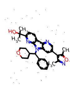 Cc1noc(C)c1-c1cnc2c3ccc(C(C)(C)O)nc3n(C(c3ccccc3)C3CCOCC3)c2c1